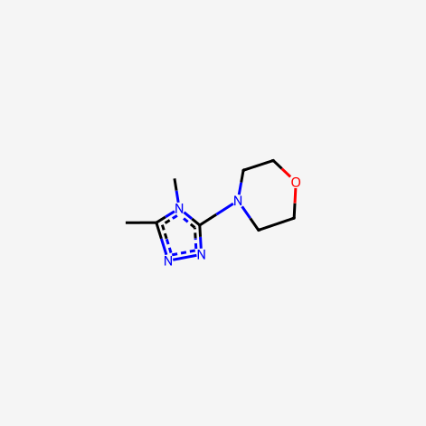 Cc1nnc(N2CCOCC2)n1C